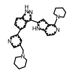 c1cc2[nH]c(-c3n[nH]c4ccc(-c5cncc(CN6CCCCC6)c5)cc34)cc2c(N2CCCCC2)n1